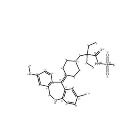 CCC(CC)(CN1CCC(=C2c3ccc(OC)cc3COc3ccc(F)cc32)CC1)C(=O)NS(C)(=O)=O